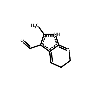 Cc1[nH]c2c(c1C=O)=CCCN=2